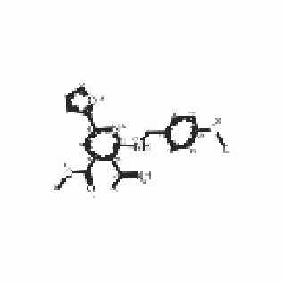 COC(=O)c1cc(-c2ccco2)nc(NCc2ccc(OC)cc2)c1C(C)=N